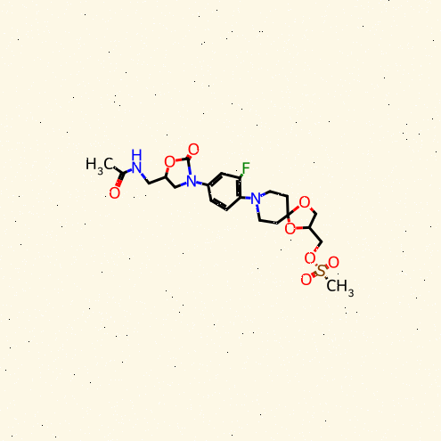 CC(=O)NCC1CN(c2ccc(N3CCC4(CC3)OCC(COS(C)(=O)=O)O4)c(F)c2)C(=O)O1